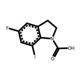 O=C(O)N1CCc2cc(F)cc(I)c21